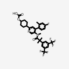 Cc1cc(F)ccc1-c1cc(C2CCC(OC(=O)O)CC2)ncc1N(C)C(=O)C(C)(C)c1cc(C(F)(F)F)cc(C(F)(F)F)c1